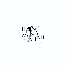 [Mg+2].[NH-][SiH3].[NH-][SiH3]